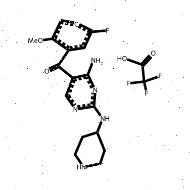 COc1ccc(F)cc1C(=O)c1cnc(NC2CCNCC2)nc1N.O=C(O)C(F)(F)F